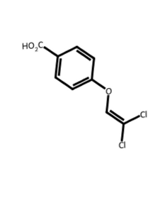 O=C(O)c1ccc(OC=C(Cl)Cl)cc1